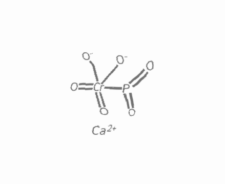 O=[P](=O)[Cr](=[O])(=[O])([O-])[O-].[Ca+2]